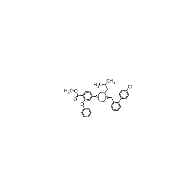 COC(=O)c1ccc(N2CCN(Cc3ccccc3-c3ccc(Cl)cc3)C(CC(C)C)C2)cc1Oc1ccccc1